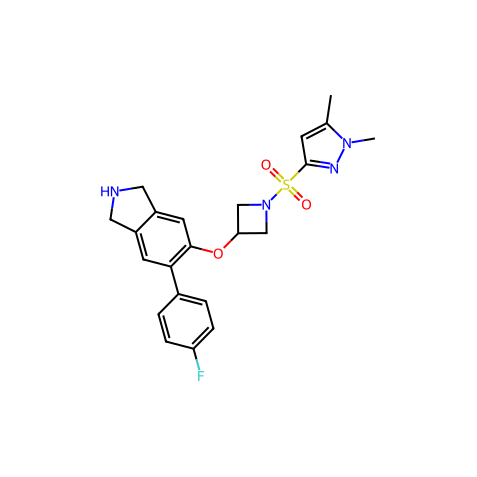 Cc1cc(S(=O)(=O)N2CC(Oc3cc4c(cc3-c3ccc(F)cc3)CNC4)C2)nn1C